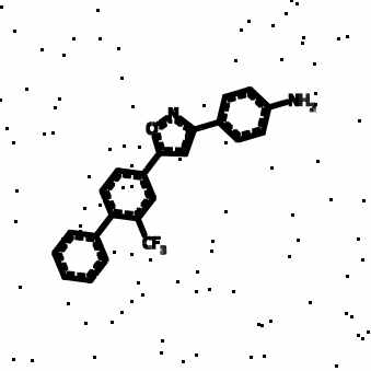 Nc1ccc(-c2cc(-c3ccc(-c4ccccc4)c(C(F)(F)F)c3)on2)cc1